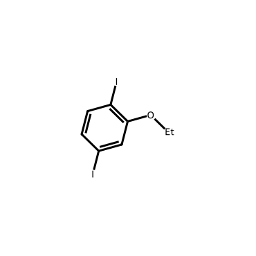 CCOc1cc(I)ccc1I